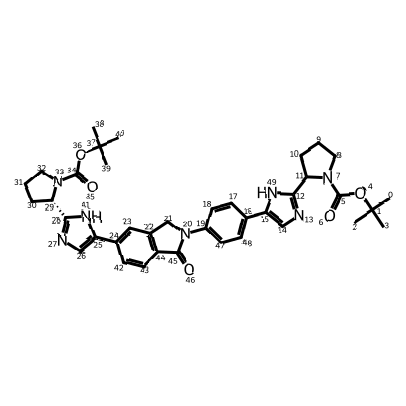 CC(C)(C)OC(=O)N1CCCC1c1ncc(-c2ccc(N3Cc4cc(-c5cnc([C@@H]6CCCN6C(=O)OC(C)(C)C)[nH]5)ccc4C3=O)cc2)[nH]1